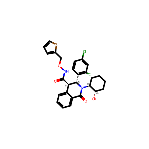 O=C(NOCc1cccs1)[C@@H]1c2ccccc2C(=O)N([C@H]2CCCC[C@@H]2O)[C@H]1c1ccc(Cl)cc1Cl